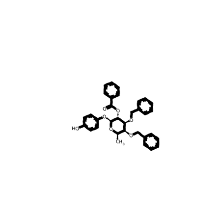 C[C@H]1O[C@@H](Oc2ccc(O)cc2)[C@H](OC(=O)c2ccccc2)[C@@H](OCc2ccccc2)[C@H]1OCc1ccccc1